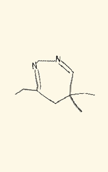 CC1=NN=CC(C)(C)C1